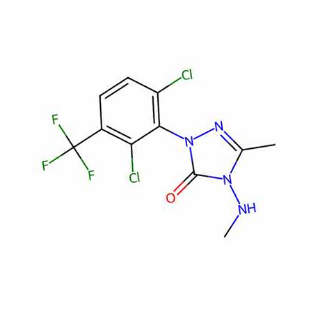 CNn1c(C)nn(-c2c(Cl)ccc(C(F)(F)F)c2Cl)c1=O